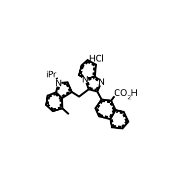 Cc1cccc2c1c(Cc1c(-c3ccc4ccccc4c3C(=O)O)nc3ccccn13)cn2C(C)C.Cl